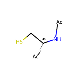 CC(=O)N[C@@H](CS)C(C)=O